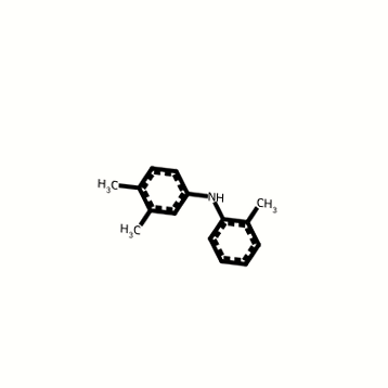 Cc1ccc(Nc2ccccc2C)cc1C